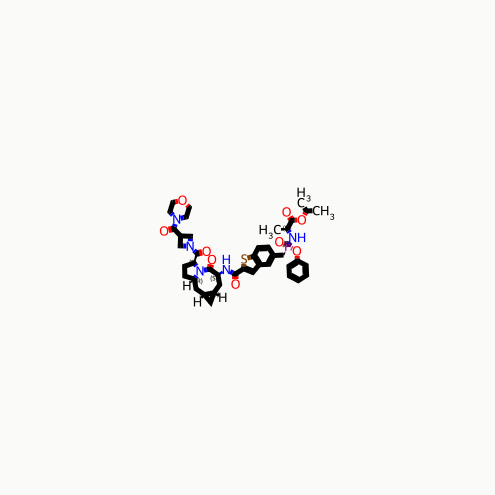 CC(C)OC(=O)[C@H](C)N[P@@](=O)(Cc1ccc2sc(C(=O)N[C@H]3C[C@@H]4C[C@@H]4C[C@H]4CC[C@@H](C(=O)N5CC(C(=O)N6CCOCC6)C5)N4C3=O)cc2c1)Oc1ccccc1